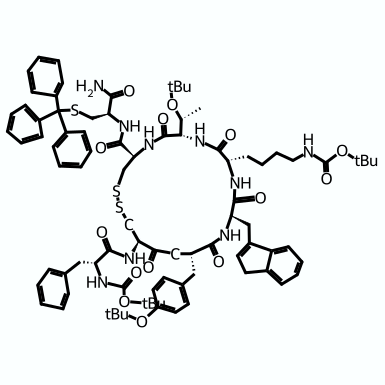 C[C@@H](OC(C)(C)C)[C@@H]1NC(=O)[C@H](CCCCNC(=O)OC(C)(C)C)NC(=O)[C@@H](CC2=CCc3ccccc32)NC(=O)[C@H](Cc2ccc(OC(C)(C)C)cc2)CC(=O)[C@@H](NC(=O)[C@@H](Cc2ccccc2)NC(=O)OC(C)(C)C)CSSC[C@@H](C(=O)N[C@@H](CSC(c2ccccc2)(c2ccccc2)c2ccccc2)C(N)=O)NC1=O